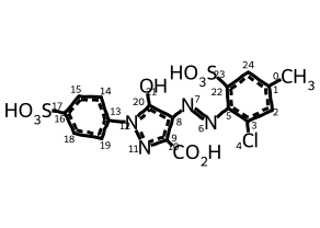 Cc1cc(Cl)c(N=Nc2c(C(=O)O)nn(-c3ccc(S(=O)(=O)O)cc3)c2O)c(S(=O)(=O)O)c1